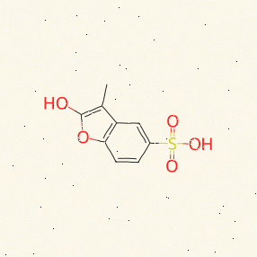 Cc1c(O)oc2ccc(S(=O)(=O)O)cc12